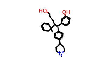 CN1CCC(c2ccc(/C(=C(/CCCO)C3(C)C=CC=CC3)c3cccc(O)c3)cc2)CC1